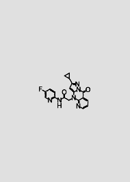 O=C(Cn1c2ncccc2c(=O)n2nc(C3CC3)cc12)Nc1ccc(F)cn1